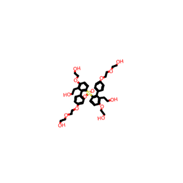 O=S(=O)(c1ccc(OCCO)c(CCO)c1-c1ccc(OCCOCCO)cc1)c1ccc(OCCO)c(CCO)c1-c1ccc(OCCOCCO)cc1